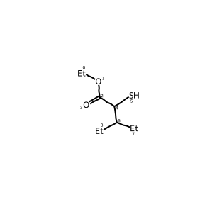 CCOC(=O)C(S)C(CC)CC